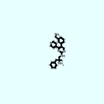 CC(N)(CNc1ncc(-c2cccc(CN)c2)c(-c2ccncc2)n1)Cc1ccccc1